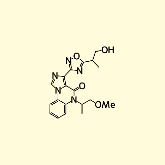 COCC(C)n1c(=O)c2c(-c3noc(C(C)CO)n3)ncn2c2ccccc21